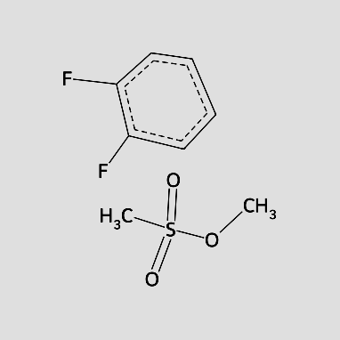 COS(C)(=O)=O.Fc1ccccc1F